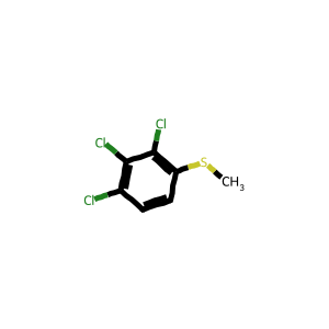 CSc1ccc(Cl)c(Cl)c1Cl